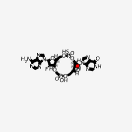 Nc1ncnc2c1ncn2[C@@H]1O[C@@H]2COP(=O)(S)O[C@@H]3[C@H](F)[C@@H](COP(=O)(O)CO[C@H]2[C@H]1F)O[C@H]3n1cnc2c(=O)[nH]cnc21